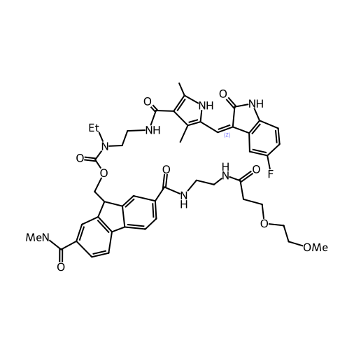 CCN(CCNC(=O)c1c(C)[nH]c(/C=C2\C(=O)Nc3ccc(F)cc32)c1C)C(=O)OCC1c2cc(C(=O)NC)ccc2-c2ccc(C(=O)NCCNC(=O)CCOCCOC)cc21